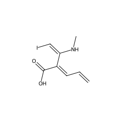 C=C/C=C(C(=O)O)\C(=C/I)NC